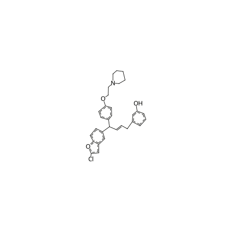 Oc1cccc(CC=CC(c2ccc(OCCN3CCCCC3)cc2)c2ccc3oc(Cl)cc3c2)c1